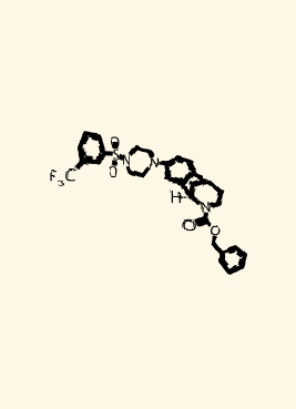 O=C(OCc1ccccc1)N1CCC2C[C@@H]1c1cc(N3CCN(S(=O)(=O)c4cccc(C(F)(F)F)c4)CC3)ccc12